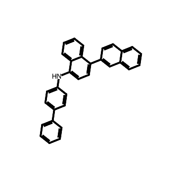 c1ccc(-c2ccc(Nc3ccc(-c4ccc5ccccc5c4)c4ccccc34)cc2)cc1